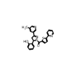 Cc1cncc(C2=NN(C(=O)c3ccc(-c4ccccn4)s3)C(c3ccccc3O)C2)c1